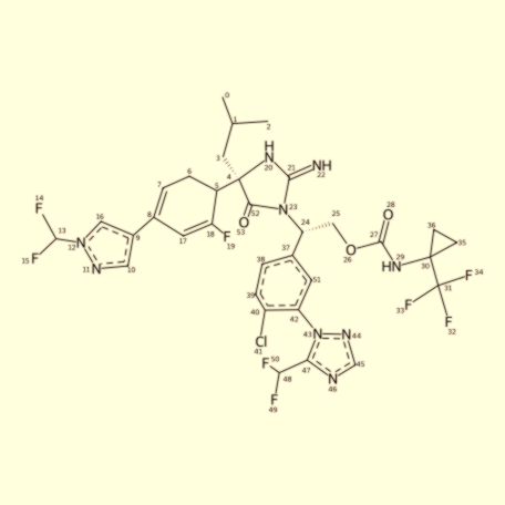 CC(C)C[C@]1(C2CC=C(c3cnn(C(F)F)c3)C=C2F)NC(=N)N([C@H](COC(=O)NC2(C(F)(F)F)CC2)c2ccc(Cl)c(-n3ncnc3C(F)F)c2)C1=O